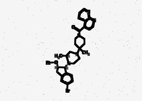 CCO[C@H]1Cc2cc(Br)ccc2[C@H]1N1CCN(C2(C)CCN(C(=O)c3ccnc4ncccc34)CC2)C[C@@H]1C